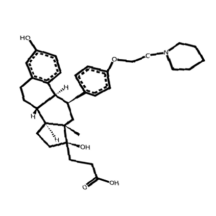 C[C@]12C[C@H](c3ccc(OCCN4CCCCC4)cc3)[C@@H]3c4ccc(O)cc4CC[C@H]3[C@@H]1CC[C@@]2(O)CCC(=O)O